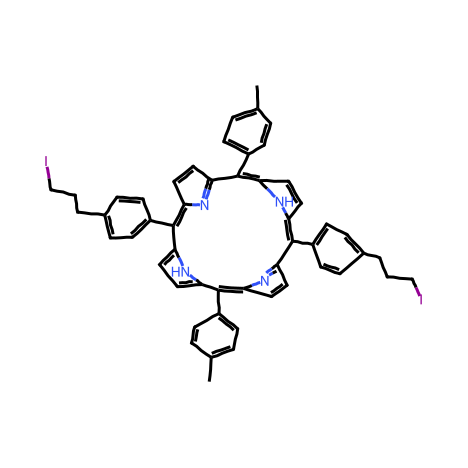 Cc1ccc(-c2c3nc(c(-c4ccc(CCCI)cc4)c4ccc([nH]4)c(-c4ccc(C)cc4)c4nc(c(-c5ccc(CCCI)cc5)c5ccc2[nH]5)C=C4)C=C3)cc1